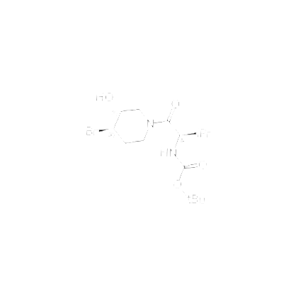 CC(C)[C@@H](NC(=O)OC(C)(C)C)C(=O)N1CC[C@@H](Br)[C@H](O)C1